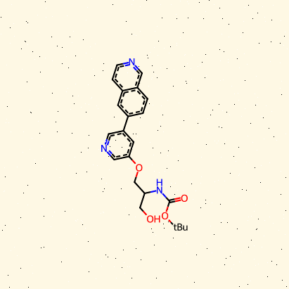 CC(C)(C)OC(=O)NC(CO)COc1cncc(-c2ccc3cnccc3c2)c1